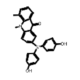 Cc1cccc2c(=O)c3cc([S+](c4ccc(O)cc4)c4ccc(O)cc4)ccc3n(C)c12